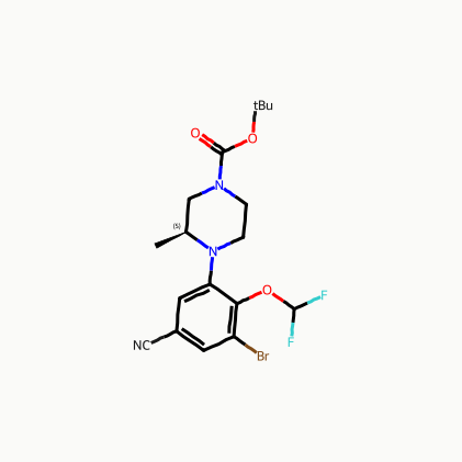 C[C@H]1CN(C(=O)OC(C)(C)C)CCN1c1cc(C#N)cc(Br)c1OC(F)F